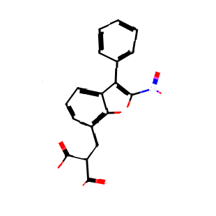 O.O=C(O)C(Cc1cccc2c(-c3ccccc3)c([N+](=O)[O-])oc12)C(=O)O.[KH]